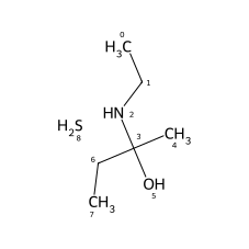 CCNC(C)(O)CC.S